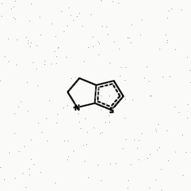 c1cc2c(s1)[N]CC2